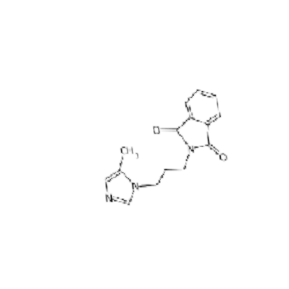 Cc1cncn1CCCN1C(=O)c2ccccc2C1=O